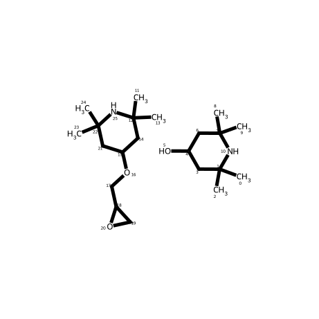 CC1(C)CC(O)CC(C)(C)N1.CC1(C)CC(OCC2CO2)CC(C)(C)N1